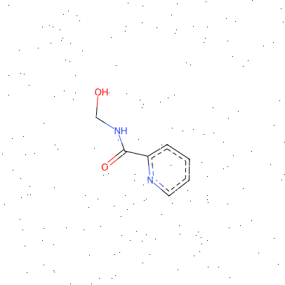 O=C(NCO)c1ccccn1